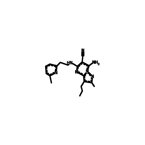 CCCc1c(C)nn2c(N)c(C#N)c(NCCc3cccc(C)n3)nc12